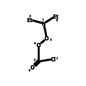 CCN(CC)OOC(=O)Cl